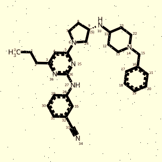 CCCc1cc(N2CC[C@H](NC3CCN(Cc4ccccc4)CC3)C2)nc(Nc2cccc(C#N)c2)n1